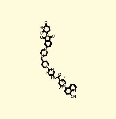 C[C@@H]1CN(c2ccc(C#N)c3ncccc23)[C@@H](C)CN1C(=O)Nc1cnc(N2CCC(CN3CCN(c4ccc5c(c4)C(=O)N(C4CCC(=O)NC4=O)C5=O)CC3)CC2)nc1